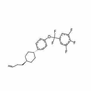 C=CCC[C@H]1CC[C@H](c2ccc(OC(F)(F)c3cc(F)c(F)c(F)c3)cc2)CC1